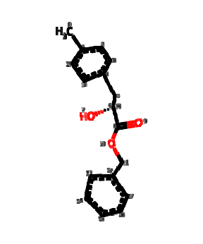 Cc1ccc(C[C@@H](O)C(=O)OCc2ccccc2)cc1